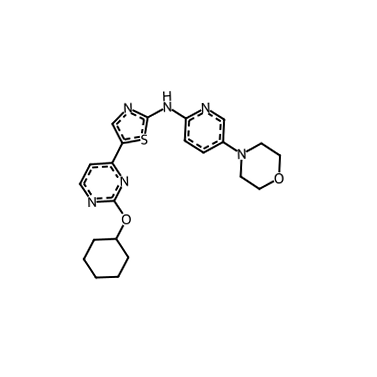 c1cc(-c2cnc(Nc3ccc(N4CCOCC4)cn3)s2)nc(OC2CCCCC2)n1